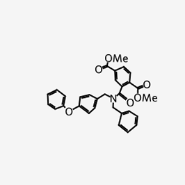 COC(=O)c1ccc(C(=O)OC)c(C(=O)N(Cc2ccccc2)Cc2ccc(Oc3ccccc3)cc2)c1